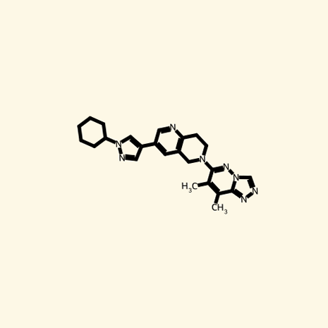 Cc1c(N2CCc3ncc(-c4cnn(C5CCCCC5)c4)cc3C2)nn2cnnc2c1C